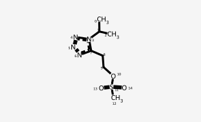 CC(C)n1nnnc1CCOS(C)(=O)=O